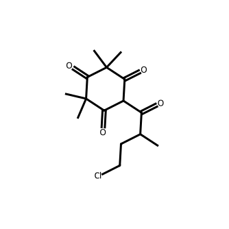 CC(CCCl)C(=O)C1C(=O)C(C)(C)C(=O)C(C)(C)C1=O